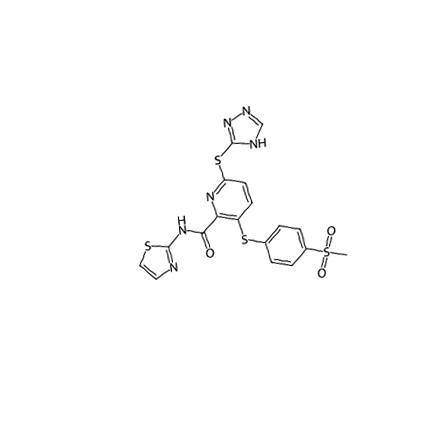 CS(=O)(=O)c1ccc(Sc2ccc(Sc3nnc[nH]3)nc2C(=O)Nc2nccs2)cc1